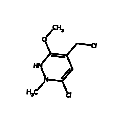 COC1=C(CCl)C=C(Cl)N(C)N1